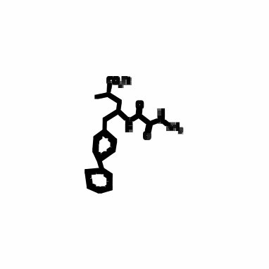 CCOC(=O)[C@H](C)CC(Cc1ccc(-c2ccccc2)cc1)NC(=O)C(=O)NN